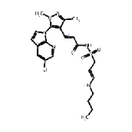 CCCCNC=CCS(=O)(=O)NC(=O)/C=C/c1c(C)nn(C)c1-n1ccc2cc(Cl)cnc21